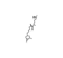 C=C(CCCCCC1CC(C)C2C(C)C2C1)NC(C)CCCCNC